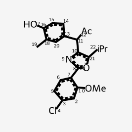 COc1cc(Cl)ccc1-c1nc(C(C(C)=O)c2ccc(O)c(C)c2)c(C(C)C)o1